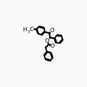 Cc1ccc(C(=O)C(OC(=O)Cc2ccccc2)c2ccccc2)cc1